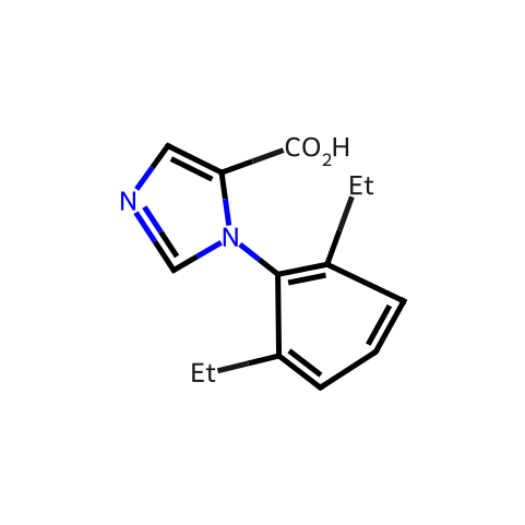 CCc1cccc(CC)c1-n1cncc1C(=O)O